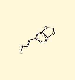 O=N/C=C/c1ccc2c(c1)OCO2